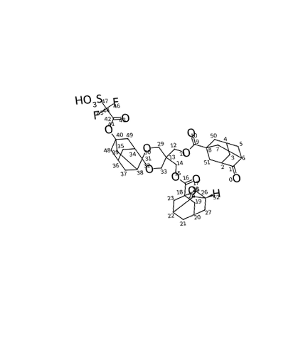 O=C1C2CC3CC1CC(C(=O)OCC1(COC(=O)C45CC6CC(C4)C(=O)[C@@H](C6)C5)COC4(OC1)C1CC5CC4CC(OC(=O)C(F)(F)S(=O)(=O)O)(C5)C1)(C3)C2